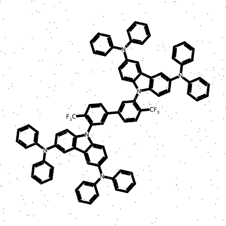 FC(F)(F)c1ccc(-c2ccc(C(F)(F)F)c(-n3c4ccc(N(c5ccccc5)c5ccccc5)cc4c4cc(N(c5ccccc5)c5ccccc5)ccc43)c2)cc1-n1c2ccc(N(c3ccccc3)c3ccccc3)cc2c2cc(N(c3ccccc3)c3ccccc3)ccc21